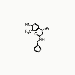 CCCN(CC(=O)NCc1ccccc1)c1ccc(C#N)c(C(F)(F)F)c1